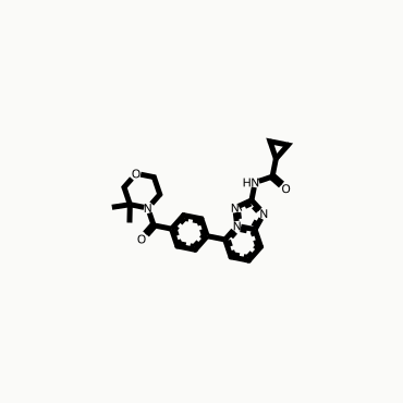 CC1(C)COCCN1C(=O)c1ccc(-c2cccc3nc(NC(=O)C4CC4)nn23)cc1